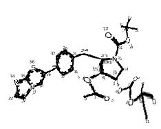 CC(=O)O[C@@H]1[C@@H](OC(=O)OC(C)(C)C)CN(C(=O)OC(C)(C)C)[C@@H]1Cc1ccc(-c2cn3ccnc3s2)cc1